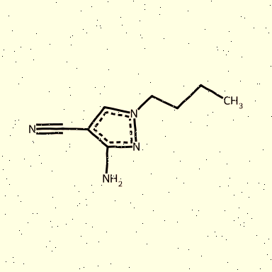 CCCCn1cc(C#N)c(N)n1